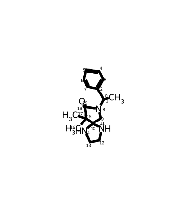 CC(c1ccccc1)N1CC2(NCCN2)C(C)(C)C1=O